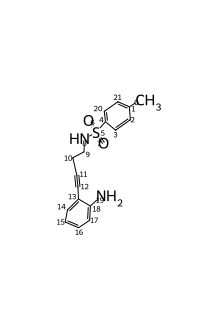 Cc1ccc(S(=O)(=O)NCCC#Cc2ccccc2N)cc1